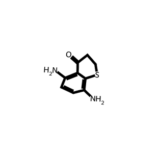 Nc1ccc(N)c2c1SCCC2=O